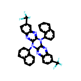 FC(F)(F)c1ccc2nc3c(nc2c1)N(c1cccc2ccccc12)c1nc2cc(C(F)(F)F)ccc2nc1N3c1cccc2ccccc12